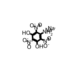 Nc1c([N+](=O)[O-])c(O)c([N+](=O)[O-])c(O)c1[N+](=O)[O-].[Na].[Na]